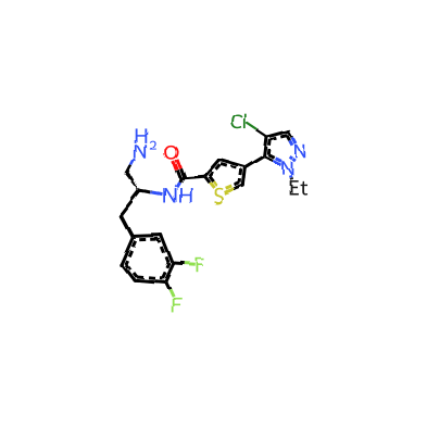 CCn1ncc(Cl)c1-c1csc(C(=O)N[C@H](CN)Cc2ccc(F)c(F)c2)c1